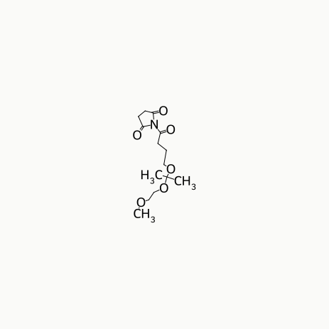 COCCOC(C)(C)OCCCC(=O)N1C(=O)CCC1=O